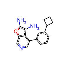 Nc1oc2cncc(-c3cccc(C4CCC4)c3)c2c1N